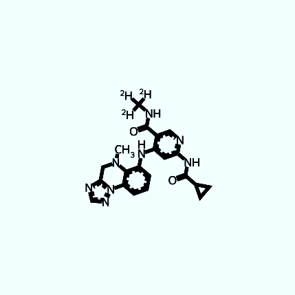 [2H]C([2H])([2H])NC(=O)c1cnc(NC(=O)C2CC2)cc1Nc1cccc2c1N(C)Cc1ncnn1-2